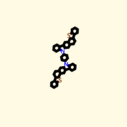 c1ccc2c(c1)sc1c3cc4c5ccccc5n(-c5ccc(-n6c7ccccc7c7cc8c(ccc9c%10ccccc%10sc89)cc76)cc5)c4cc3ccc21